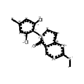 CSc1ncc2c(=O)n(-c3c(Cl)cc(C)cc3Cl)ccc2n1